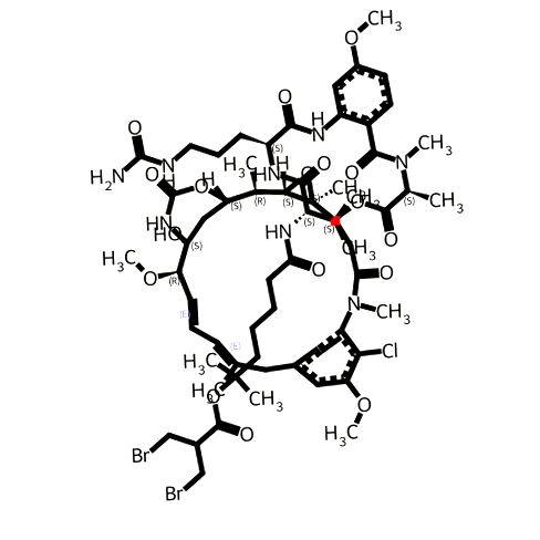 COc1ccc(C(=O)N(C)[C@@H](C)C(=O)O[C@H]2CC(=O)N(C)c3cc(cc(OC)c3Cl)C/C(C)=C/C=C/[C@@H](OC)[C@@]3(O)C[C@H](OC(=O)N3)[C@@H](C)[C@@H]3O[C@@]23C)c(NC(=O)[C@H](CCCNC(N)=O)NC(=O)[C@@H](NC(=O)CCCCC(C)(C)OC(=O)C(CBr)CBr)C(C)C)c1